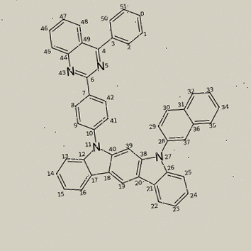 c1ccc(-c2nc(-c3ccc(-n4c5ccccc5c5cc6c7ccccc7n(-c7ccc8ccccc8c7)c6cc54)cc3)nc3ccccc23)cc1